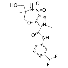 Cn1cc2c(c1C(=O)Nc1ccnc(C(F)F)c1)OCC(C)(CO)NS2(=O)=O